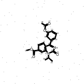 COC(=O)c1ccc2c(-c3cccc(OC(C)=O)c3)nc(=O)n(C(C)C)c2c1